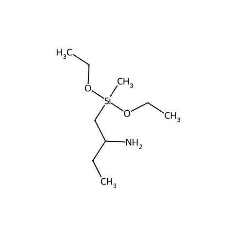 CCO[Si](C)(CC(N)CC)OCC